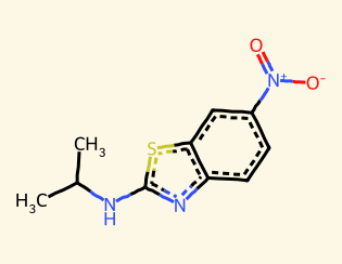 CC(C)Nc1nc2ccc([N+](=O)[O-])cc2s1